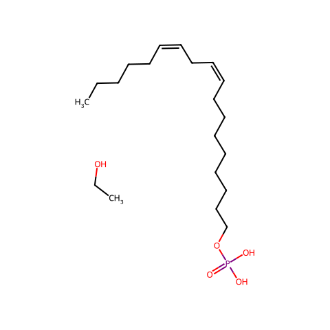 CCCCC/C=C\C/C=C\CCCCCCCCOP(=O)(O)O.CCO